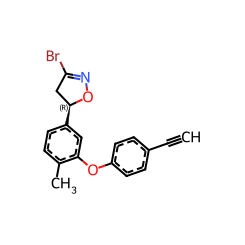 C#Cc1ccc(Oc2cc([C@H]3CC(Br)=NO3)ccc2C)cc1